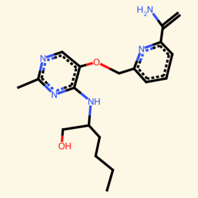 C=C(N)c1cccc(COc2cnc(C)nc2NC(CO)CCCC)n1